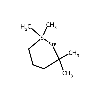 C[C]1(C)CCC[S](C)(C)[Sn]1